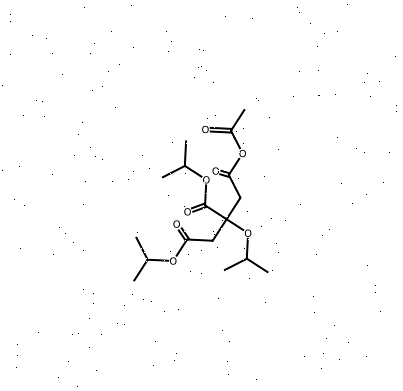 CC(=O)OC(=O)CC(CC(=O)OC(C)C)(OC(C)C)C(=O)OC(C)C